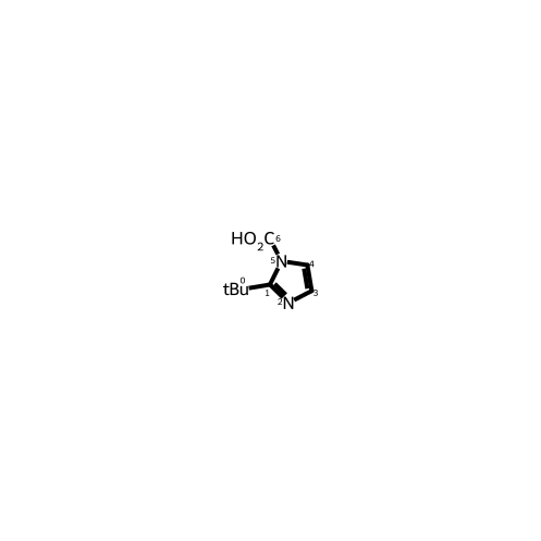 CC(C)(C)c1nccn1C(=O)O